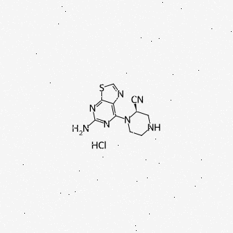 Cl.N#C[C@H]1CNCCN1c1nc(N)nc2scnc12